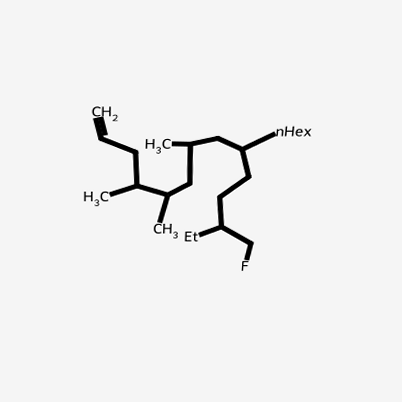 C=CCC(C)C(C)CC(C)CC(CCCCCC)CCC(CC)CF